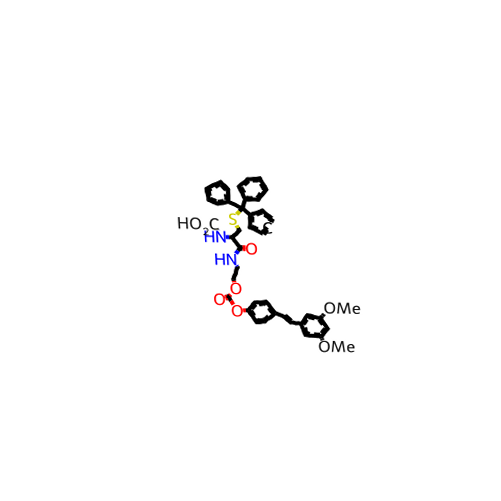 COc1cc(C=Cc2ccc(OC(=O)OCCNC(=O)C(CSC(c3ccccc3)(c3ccccc3)c3ccccc3)NC(=O)O)cc2)cc(OC)c1